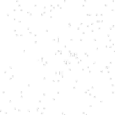 Cc1cc(-c2c(Cl)cccc2Cl)nc(N)n1